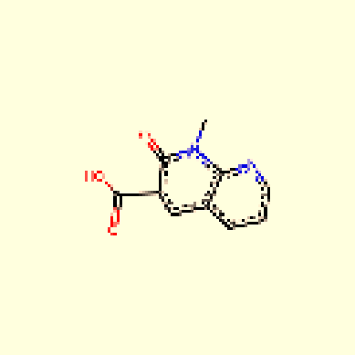 Cn1c(=O)c(C(=O)O)cc2cccnc21